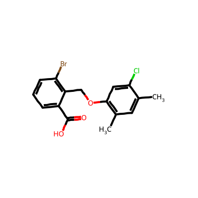 Cc1cc(C)c(OCc2c(Br)cccc2C(=O)O)cc1Cl